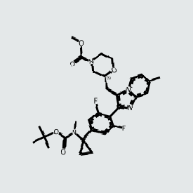 COC(=O)N1CCO[C@@H](Cc2c(-c3c(F)cc(C4(N(C)C(=O)OC(C)(C)C)CC4)cc3F)nc3cc(C)ccn23)C1